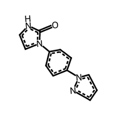 O=c1[nH]ccn1-c1ccc(-n2cccn2)cc1